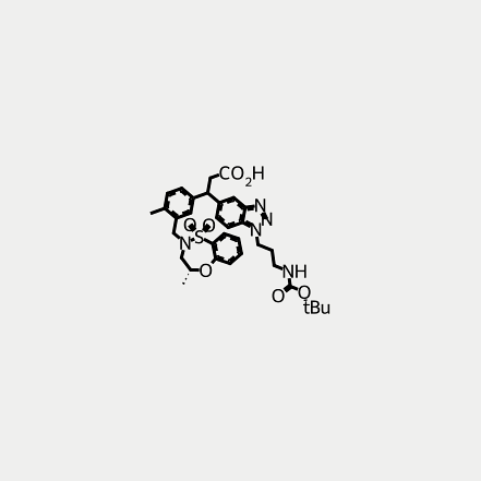 Cc1ccc(C(CC(=O)O)c2ccc3c(c2)nnn3CCCNC(=O)OC(C)(C)C)cc1CN1C[C@@H](C)Oc2ccccc2S1(=O)=O